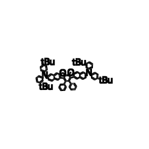 CC(C)(C)c1ccc(N(c2cccc(C(C)(C)C)c2)c2ccc3cc4c(cc3c2)oc2c3oc5cc6cc(N(c7ccc(C(C)(C)C)cc7)c7cccc(C(C)(C)C)c7)ccc6cc5c3c(-c3ccccc3)c(-c3ccccc3)c42)cc1